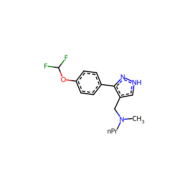 CCCN(C)Cc1c[nH]nc1-c1ccc(OC(F)F)cc1